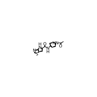 CC(=O)Nc1ccc(NC(=O)c2cc3scnc3[nH]2)cc1